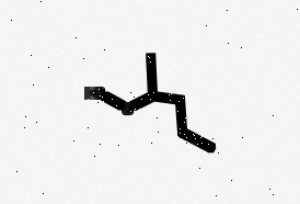 CCCC(C)OO